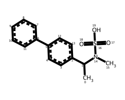 CC(c1ccc(-c2ccccc2)cc1)N(C)S(=O)(=O)O